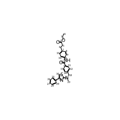 CCOC(=O)CCc1ccc(NC(=O)c2ccc(CN(C)c3nc(-c4ccccc4)cs3)cc2)cc1